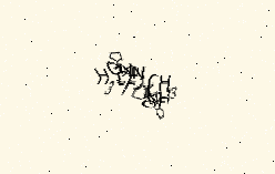 Cc1c(NC(=O)C(F)c2ccccc2)ccc(F)c1CN1CCN(C(=O)C2CCCC2)C(C)C1